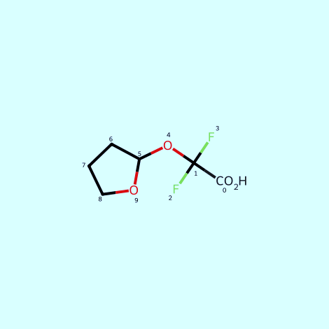 O=C(O)C(F)(F)OC1CCCO1